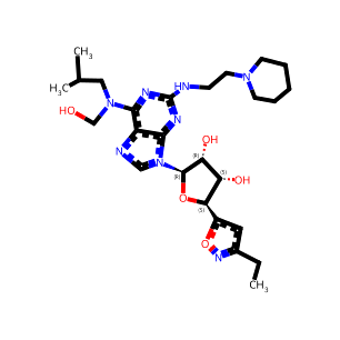 CCc1cc([C@H]2O[C@@H](n3cnc4c(N(CO)CC(C)C)nc(NCCN5CCCCC5)nc43)[C@H](O)[C@@H]2O)on1